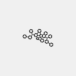 c1ccc(-c2cccc(N(c3ccccc3)c3ccc4c5c(c6ccccc6c4c3)-c3c(cc(N(c4ccccc4)c4cccc(-c6ccccc6)c4)c4ccccc34)C53c4ccccc4-c4ccccc43)c2)cc1